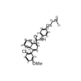 COc1ccc(Cl)c(-c2ccc(C(=O)Nc3ccc(OCCN(C)C)cc3)c3nccnc23)c1